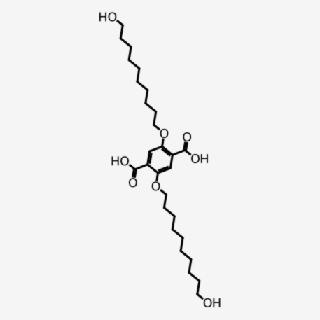 O=C(O)c1cc(OCCCCCCCCCCO)c(C(=O)O)cc1OCCCCCCCCCCO